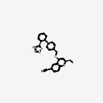 CCc1cc(OCc2ccc(-c3ccccc3-c3nnn[nH]3)cc2)c2cc(C#N)ccc2n1